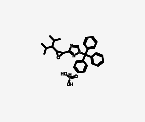 CC(C)C(C(C)C)C1OC1c1ncn(C(c2ccccc2)(c2ccccc2)c2ccccc2)n1.O=[PH](O)O